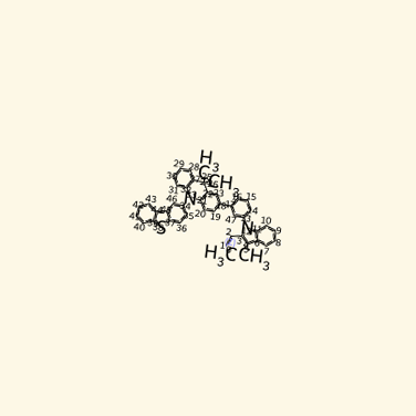 C/C=C\c1c(C)c2ccccc2n1-c1cccc(-c2ccc3c(c2)C(C)(C)c2ccccc2N3c2ccc3sc4ccccc4c3c2)c1